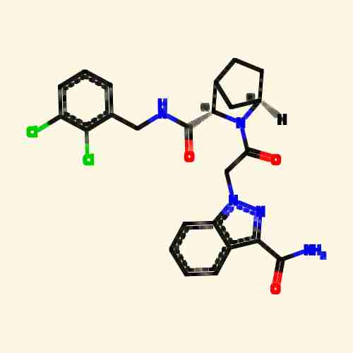 NC(=O)c1nn(CC(=O)N2[C@@H]3CCC(C3)[C@H]2C(=O)NCc2cccc(Cl)c2Cl)c2ccccc12